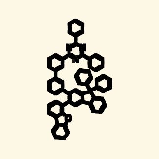 c1ccc(-c2nc(-c3ccccc3)nc(-c3cccc(-c4cccc(-c5cc6c(cc5-c5cccc7c5oc5ccccc57)-c5ccccc5C6(c5ccccc5)c5ccccc5)c4)c3)n2)cc1